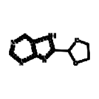 c1ncc2[nH]c(C3OCCO3)nc2n1